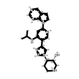 CC(C)Nc1cc(-n2ccc3cncnc32)ncc1-c1cn([C@@H]2CCNC[C@H]2O)nn1